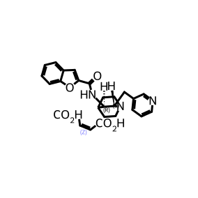 O=C(N[C@@H]1C2CCN(CC2)[C@H]1Cc1cccnc1)c1cc2ccccc2o1.O=C(O)/C=C\C(=O)O